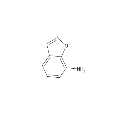 Nc1cccc2c[c]oc12